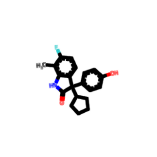 Cc1c(F)ccc2c1NC(=O)C2(c1ccc(O)cc1)C1CCCC1